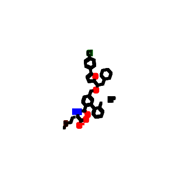 CSCC[C@H](NC(=O)c1ccc(COC(CC2CCCCC2)c2ccc(-c3ccc(Cl)cc3)o2)cc1-c1ccccc1C)C(=O)[O-].[Li+]